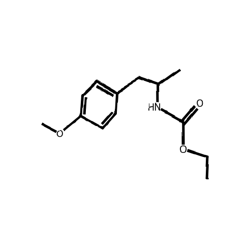 CCOC(=O)NC(C)Cc1ccc(OC)cc1